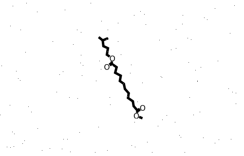 COC(=O)CCCCCCCCCCC(=O)OCCCC(C)C